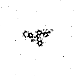 C[C@@](O)(c1ccnc(-c2cccc3cc([C@H](NS(=O)(=O)c4ccc5c(c4)OCCCO5)c4ccccc4Cl)sc23)c1)C(F)(F)F